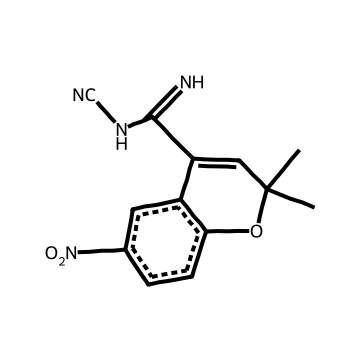 CC1(C)C=C(C(=N)NC#N)c2cc([N+](=O)[O-])ccc2O1